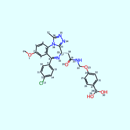 COc1ccc2c(c1)C(c1ccc(Cl)cc1)=N[C@@H](CC(=O)NCOc1ccc(B(O)O)cc1)c1nnc(C)n1-2